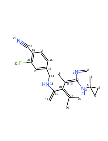 C=N/C(NC1(C)CC1)=C(\C)C(C(=C)NCc1ccc(C#N)c(F)c1)=C(C)C